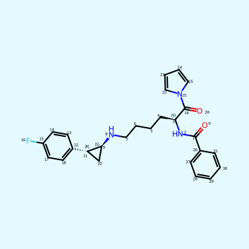 O=C(N[C@@H](CCCCN[C@H]1C[C@@H]1c1ccc(F)cc1)C(=O)n1cccc1)c1ccccc1